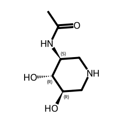 CC(=O)N[C@H]1CNC[C@@H](O)[C@@H]1O